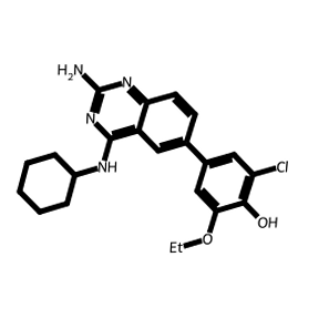 CCOc1cc(-c2ccc3nc(N)nc(NC4CCCCC4)c3c2)cc(Cl)c1O